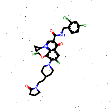 O=C(NCc1ccc(Cl)cc1Cl)c1cn(C2CC2)c2c(OCF)c(N3CCC(CCN4CCCC4=O)CC3)c(F)cc2c1=O